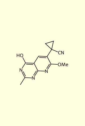 COc1nc2nc(C)nc(O)c2cc1C1(C#N)CC1